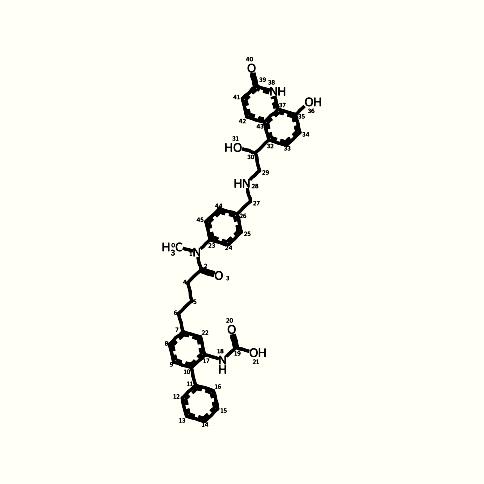 CN(C(=O)CCCc1ccc(-c2ccccc2)c(NC(=O)O)c1)c1ccc(CNCC(O)c2ccc(O)c3[nH]c(=O)ccc23)cc1